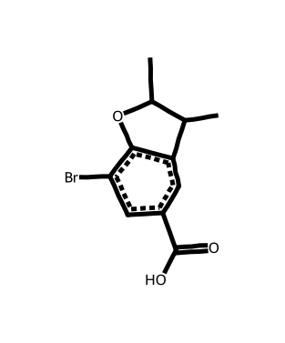 CC1Oc2c(Br)cc(C(=O)O)cc2C1C